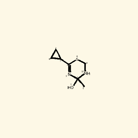 CC1(O)N=C(C2CC2)SCN1